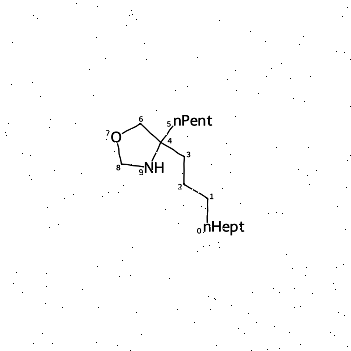 CCCCCCCCCCC1(CCCCC)COCN1